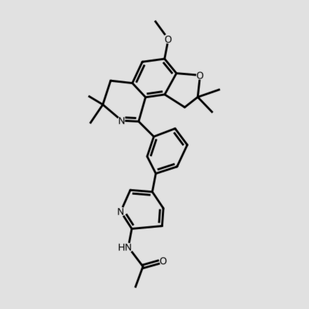 COc1cc2c(c3c1OC(C)(C)C3)C(c1cccc(-c3ccc(NC(C)=O)nc3)c1)=NC(C)(C)C2